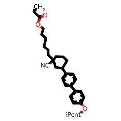 C=CC(=O)OCCCCCCC1(C#N)CCCC(c2ccc(-c3ccc(OC(C)CCC)cc3)cc2)C1